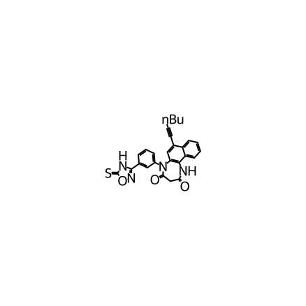 CCCCC#Cc1cc2c(c3ccccc13)NC(=O)CC(=O)N2c1cccc(-c2noc(=S)[nH]2)c1